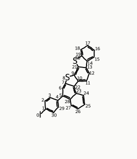 Ic1ccc(-c2cc3sc4c(ccc5c6ccccc6sc54)c3c3ccccc23)cc1